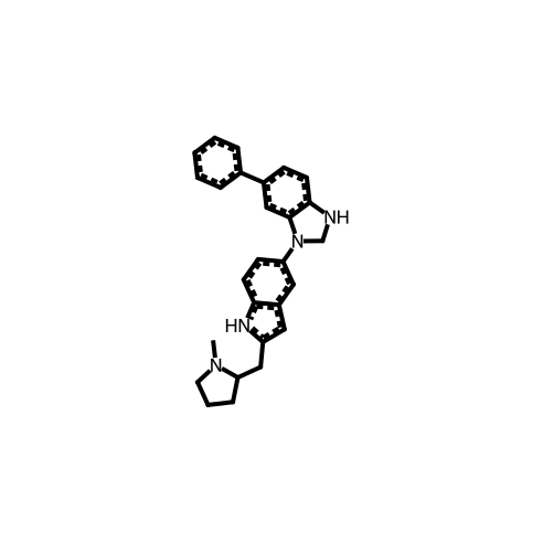 CN1CCCC1Cc1cc2cc(N3CNc4ccc(-c5ccccc5)cc43)ccc2[nH]1